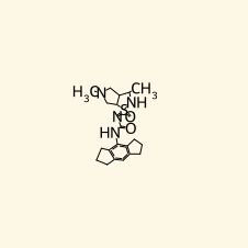 CC1NS(=O)(=NC(=O)Nc2c3c(cc4c2CCC4)CCC3)C2CN(C)CC12